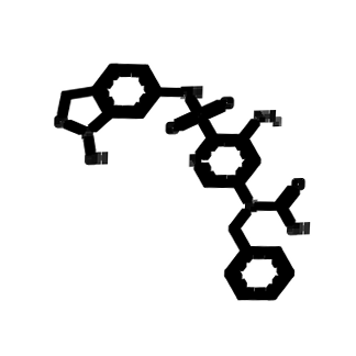 Nc1cc(N(Cc2ccccc2)C(=O)O)cnc1S(=O)(=O)Nc1ccc2c(c1)B(O)OC2